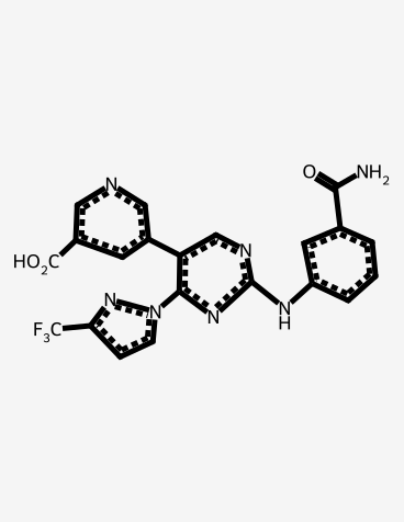 NC(=O)c1cccc(Nc2ncc(-c3cncc(C(=O)O)c3)c(-n3ccc(C(F)(F)F)n3)n2)c1